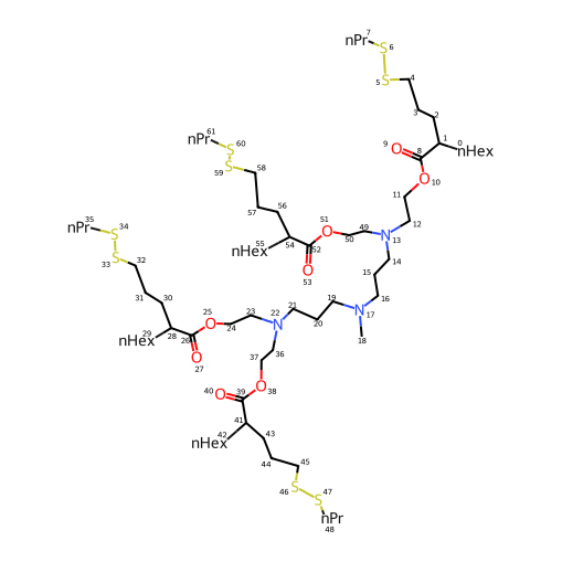 CCCCCCC(CCCSSCCC)C(=O)OCCN(CCCN(C)CCCN(CCOC(=O)C(CCCCCC)CCCSSCCC)CCOC(=O)C(CCCCCC)CCCSSCCC)CCOC(=O)C(CCCCCC)CCCSSCCC